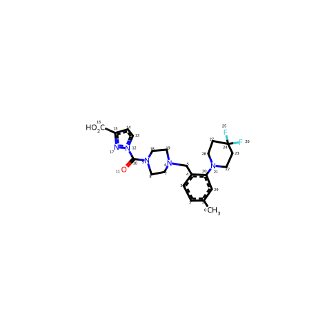 Cc1ccc(CN2CCN(C(=O)n3ccc(C(=O)O)n3)CC2)c(N2CCC(F)(F)CC2)c1